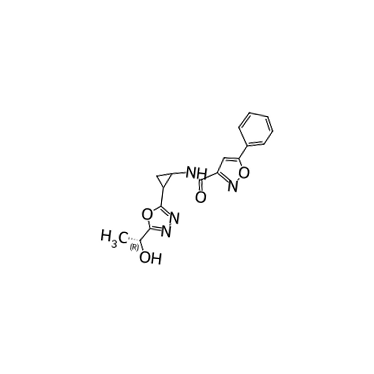 C[C@@H](O)c1nnc(C2CC2NC(=O)c2cc(-c3ccccc3)on2)o1